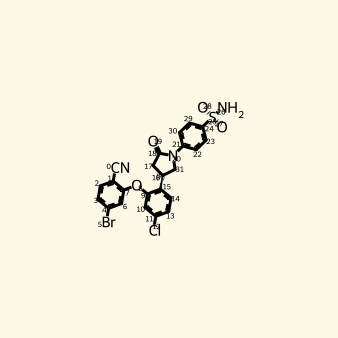 N#Cc1ccc(Br)cc1Oc1cc(Cl)ccc1[C@H]1CC(=O)N(c2ccc(S(N)(=O)=O)cc2)C1